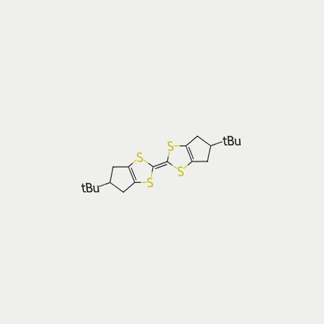 CC(C)(C)C1CC2=C(C1)SC(=C1SC3=C(CC(C(C)(C)C)C3)S1)S2